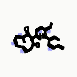 C=C/C=C\C(=CC)NC(/C=C\C(=C)N1C(=O)C/C=C/C=C\C=C(/C)C1=O)=C/C